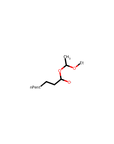 CCCCCCCC([O])OC(C)OCC